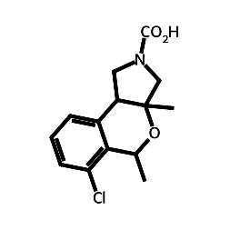 CC1OC2(C)CN(C(=O)O)CC2c2cccc(Cl)c21